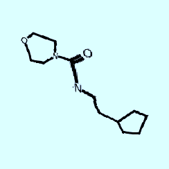 O=C([N]CCC1CCCC1)N1CCOCC1